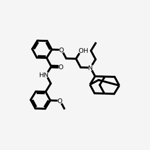 CCCN(CC(O)COc1ccccc1C(=O)NCc1ccccc1OC)C1C2CC3CC(C2)CC1C3